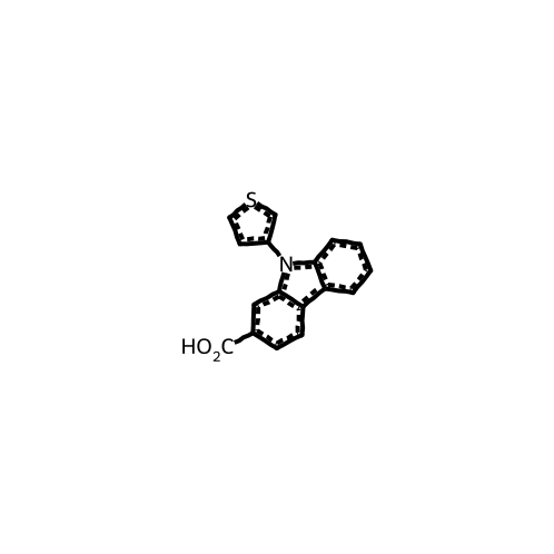 O=C(O)c1ccc2c3ccccc3n(-c3ccsc3)c2c1